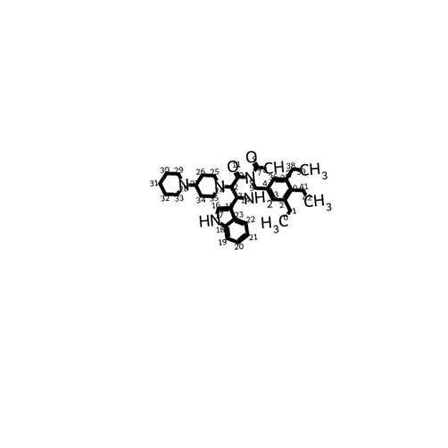 CCc1cc(CN(C(C)=O)C(=O)C(C(N)c2c[nH]c3ccccc23)N2CCC(N3CCCCC3)CC2)cc(CC)c1CC